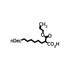 C=CCOC(=O)C(CCCCCCCCCCCCCCCC)C(=O)O